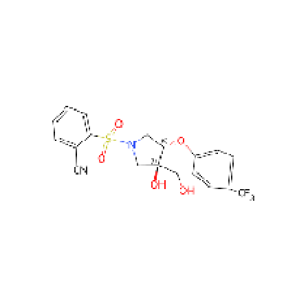 N#Cc1ccccc1S(=O)(=O)N1C[C@H](Oc2ccc(C(F)(F)F)cc2)[C@](O)(CO)C1